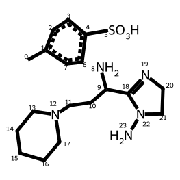 Cc1ccc(S(=O)(=O)O)cc1.NC(CCN1CCCCC1)C1=NCCN1N